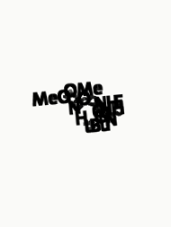 COc1cc2nccc(Oc3ccc(NC(=O)Nc4c(-c5cccc(F)c5)nc(C(C)(C)C)n4C)cc3)c2cc1OC